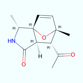 CC(=O)[C@@H]1[C@H]2C(=O)N[C@H](C)[C@@]23C=C[C@@]1(C)O3